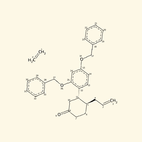 C=C.C=CC[C@H]1CCC(=O)C[C@@H]1c1ccc(OCc2ccccc2)cc1OCc1ccccc1